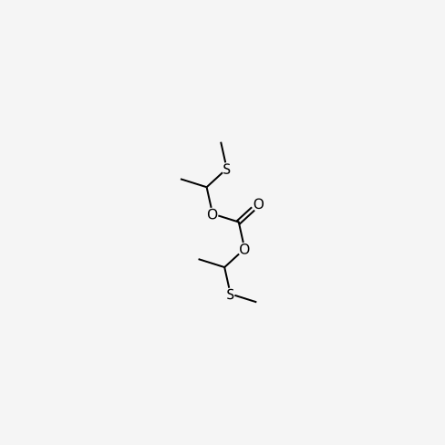 CSC(C)OC(=O)OC(C)SC